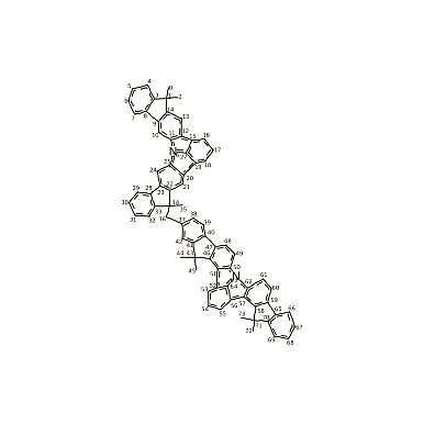 CC1(C)c2ccccc2-c2cc3c(cc21)c1cccc2c4cc5c(cc4n3c12)-c1ccccc1C5(C)Cc1ccc2c(c1)C(C)(C)c1c-2ccc2c1c1cccc3c4c5c(ccc4n2c31)-c1ccccc1C5(C)C